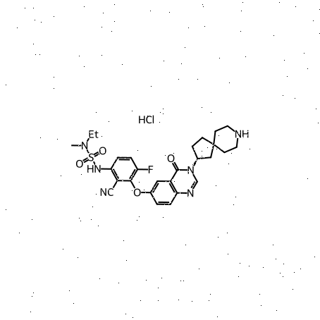 CCN(C)S(=O)(=O)Nc1ccc(F)c(Oc2ccc3ncn([C@H]4CCC5(CCNCC5)C4)c(=O)c3c2)c1C#N.Cl